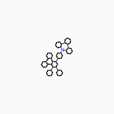 c1ccc(-c2cc(-c3ccc(N4c5ccccc5-c5ccccc5-c5ccccc54)cc3)c3c4ccccc4c4ccccc4c3c2-c2ccccc2)cc1